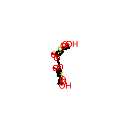 COc1cc2sc(C(=O)CC(C)C(=O)O)cc2cc1OCCCCOc1cc2sc(C(=O)CC(C)C(=O)O)cc2cc1OC